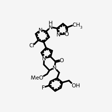 COCC1Cn2cc(-c3cc(Nc4cc(C)on4)ncc3Cl)cc2C(=O)N1Cc1cc(F)ccc1CO